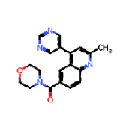 Cc1cc(-c2cncnc2)c2cc(C(=O)N3CCOCC3)ccc2n1